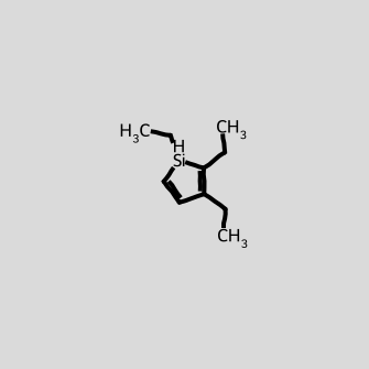 CCC1=C(CC)[SiH](CC)C=C1